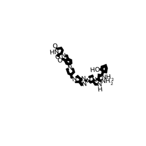 NC1=C(/C=C(\N)c2ccccc2O)N2CCN(c3ncc4c(n3)CN(CC3CCN(c5ccc6c(c5)C(=O)N(C5CCC(=O)NC5=O)C6)CC3)C4)CC2CN1